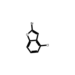 Clc1cccc2oc(Br)cc12